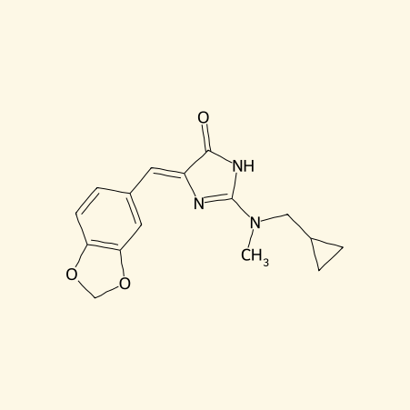 CN(CC1CC1)C1=NC(=Cc2ccc3c(c2)OCO3)C(=O)N1